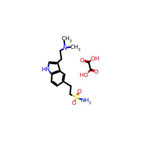 CN(C)CCc1c[nH]c2ccc(CCS(N)(=O)=O)cc12.O=C(O)C(=O)O